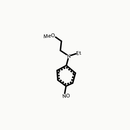 CCN(CCOC)c1ccc(N=O)cc1